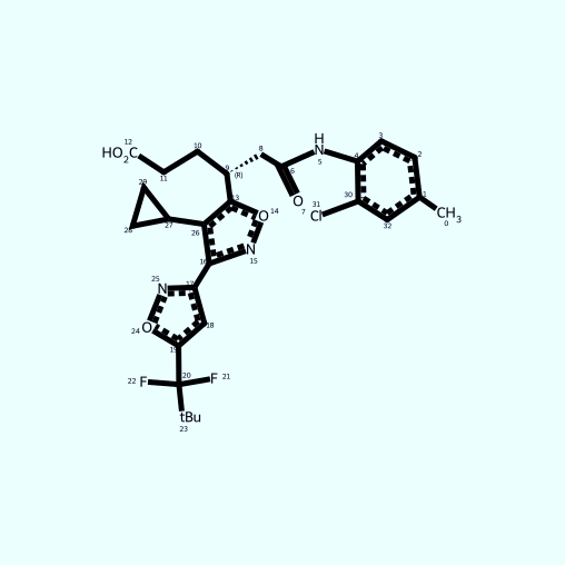 Cc1ccc(NC(=O)C[C@@H](CCC(=O)O)c2onc(-c3cc(C(F)(F)C(C)(C)C)on3)c2C2CC2)c(Cl)c1